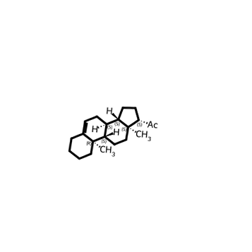 CC(=O)[C@H]1CC[C@H]2[C@@H]3CC=C4CCCC[C@]4(C)[C@H]3CC[C@]12C